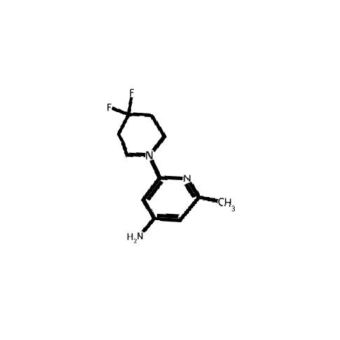 Cc1cc(N)cc(N2CCC(F)(F)CC2)n1